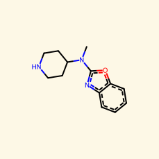 CN(c1nc2ccccc2o1)C1CCNCC1